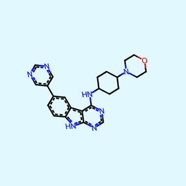 c1ncc(-c2ccc3[nH]c4ncnc(NC5CCC(N6CCOCC6)CC5)c4c3c2)cn1